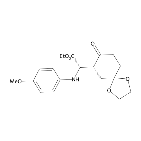 CCOC(=O)[C@@H](Nc1ccc(OC)cc1)[C@H]1CC2(CCC1=O)OCCO2